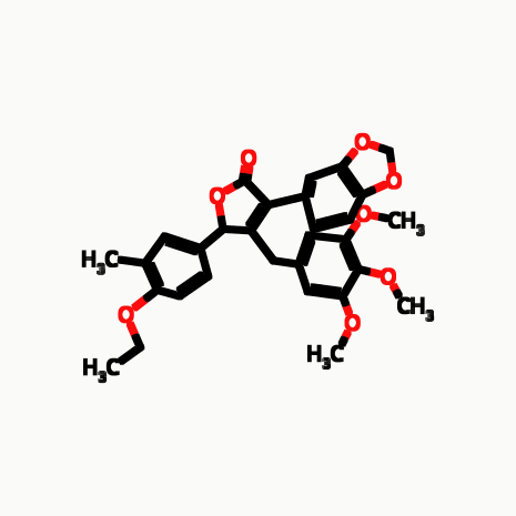 CCOc1ccc(C2OC(=O)C(c3ccc4c(c3)OCO4)=C2Cc2cc(OC)c(OC)c(OC)c2)cc1C